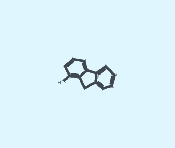 [Hf][c]1cccc2c1Cc1ccccc1-2